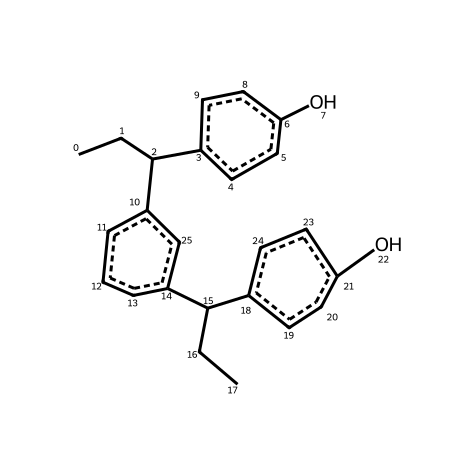 CCC(c1ccc(O)cc1)c1cccc(C(CC)c2ccc(O)cc2)c1